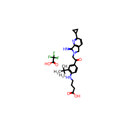 CC(C)(C)c1cc(C(=O)CN2Cc3ccc(C4CC4)nc3C2=N)ccc1NCCCC(=O)O.O=C(O)C(F)(F)F